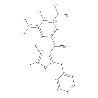 Cc1oc(Cc2ccccc2)c(C(=O)c2cc(C(C)C)c(O)c(C(C)C)c2)c1C